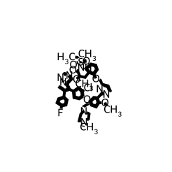 COc1ccccc1-c1nccc(COc2ccccc2CC(Oc2ncnn3cc(-c4ccc(F)cc4)c(-c4ccc(OCCN5CCN(C)CC5)c(Cl)c4C)c23)C(=O)NS(=O)(=O)C(C)C)n1